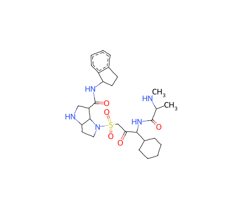 CNC(C)C(=O)NC(C(=O)CS(=O)(=O)N1CCC2NCC(C(=O)NC3CCc4ccccc43)C21)C1CCCCC1